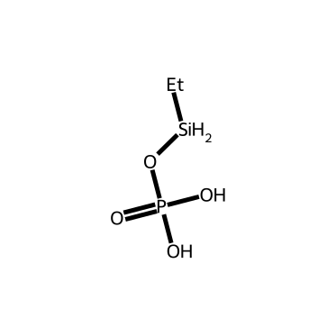 CC[SiH2]OP(=O)(O)O